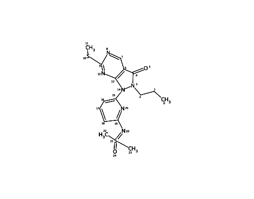 CCCn1c(=O)c2cnc(SC)nc2n1-c1cccc(N=S(C)(C)=O)n1